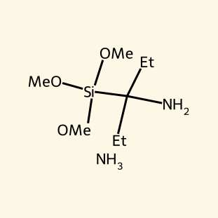 CCC(N)(CC)[Si](OC)(OC)OC.N